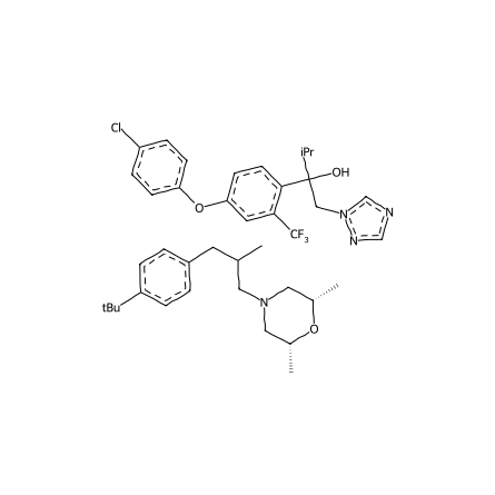 CC(C)C(O)(Cn1cncn1)c1ccc(Oc2ccc(Cl)cc2)cc1C(F)(F)F.CC(Cc1ccc(C(C)(C)C)cc1)CN1C[C@@H](C)O[C@@H](C)C1